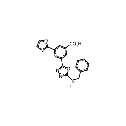 C[C@@H](Cc1ccccc1)c1nnc(-c2cc(C(=O)O)cc(-c3ncco3)n2)o1